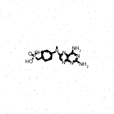 CN(c1ccc(CP(=O)(O)O)cc1)c1cnc2nc(N)nc(N)c2n1